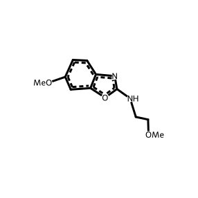 COCCNc1nc2ccc(OC)cc2o1